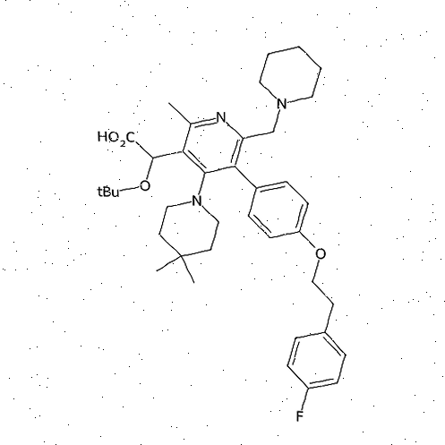 Cc1nc(CN2CCCCC2)c(-c2ccc(OCCc3ccc(F)cc3)cc2)c(N2CCC(C)(C)CC2)c1C(OC(C)(C)C)C(=O)O